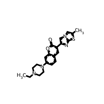 CCN1CCN(c2ccc3cc(-c4cn5cc(C)sc5n4)c(=O)oc3c2)CC1